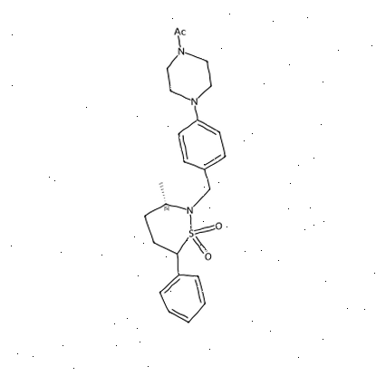 CC(=O)N1CCN(c2ccc(CN3[C@@H](C)CCC(c4ccccc4)S3(=O)=O)cc2)CC1